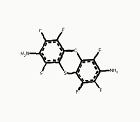 Nc1c(F)c(F)c2c(c1F)Oc1c(F)c(F)c(N)c(F)c1S2